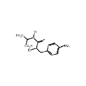 CCC(Cc1ccc([N+](=O)[O-])cc1)C(=O)N(CC)C(C(=O)O)C(=O)O